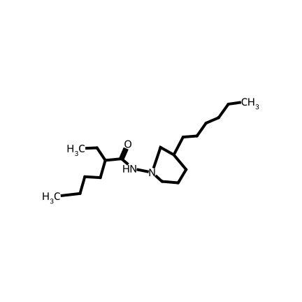 CCCCCCC1CCCN(NC(=O)C(CC)CCCC)C1